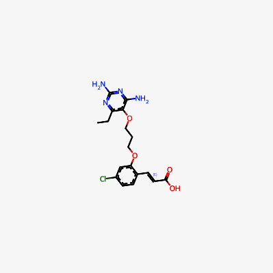 CCc1nc(N)nc(N)c1OCCCOc1cc(Cl)ccc1/C=C/C(=O)O